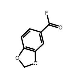 O=C(F)c1ccc2c(c1)OCO2